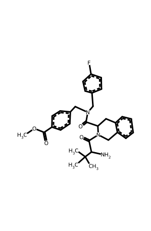 COC(=O)c1ccc(CN(Cc2ccc(F)cc2)C(=O)C2Cc3ccccc3CN2C(=O)C(N)C(C)(C)C)cc1